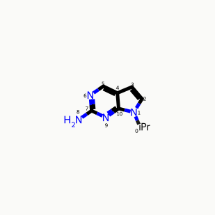 CC(C)n1ccc2cnc(N)nc21